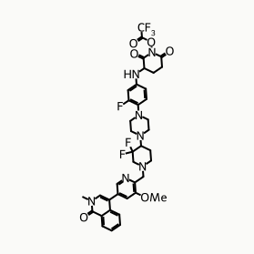 COc1cc(-c2cn(C)c(=O)c3ccccc23)cnc1CN1CCC(N2CCN(c3ccc(NC4CCC(=O)N(OC(=O)C(F)(F)F)C4=O)cc3F)CC2)C(F)(F)C1